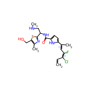 C=C/C(Cl)=C(F)\C=C(/C)c1ccc(C(=O)NC(CNC)c2nc(C)c(CO)s2)[nH]1